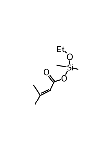 CCO[Si](C)(C)OC(=O)C=C(C)C